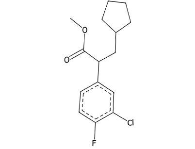 COC(=O)C(CC1CCCC1)c1ccc(F)c(Cl)c1